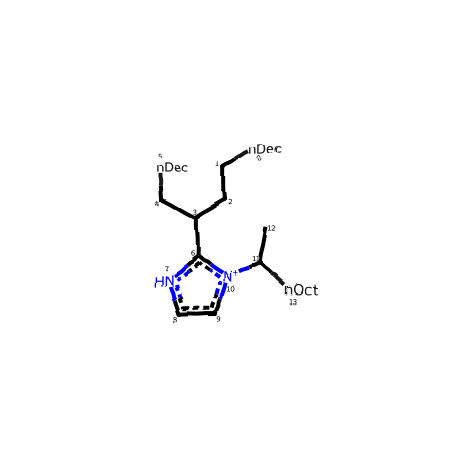 CCCCCCCCCCCCC(CCCCCCCCCCC)c1[nH]cc[n+]1C(C)CCCCCCCC